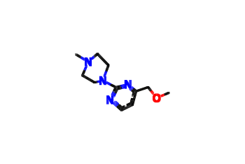 COCc1ccnc(N2CCN(C)CC2)n1